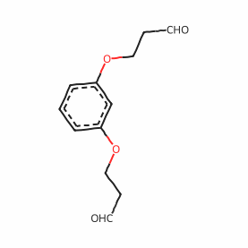 O=CCCOc1cccc(OCCC=O)c1